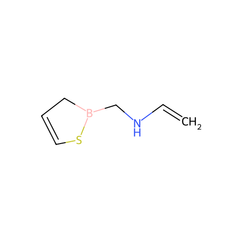 C=CNCB1CC=CS1